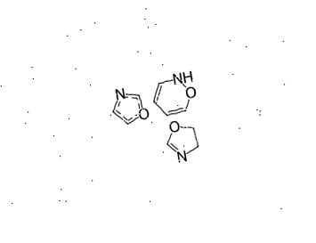 C1=CNOC=C1.C1=NCCO1.c1cocn1